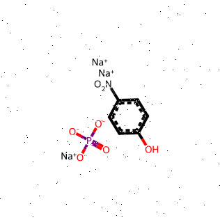 O=P([O-])([O-])[O-].O=[N+]([O-])c1ccc(O)cc1.[Na+].[Na+].[Na+]